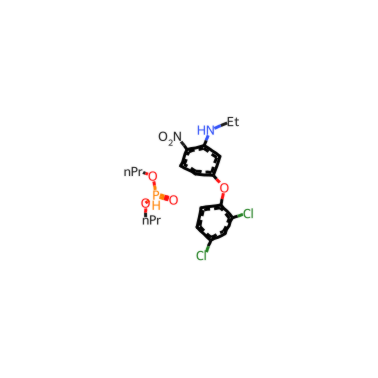 CCCO[PH](=O)OCCC.CCNc1cc(Oc2ccc(Cl)cc2Cl)ccc1[N+](=O)[O-]